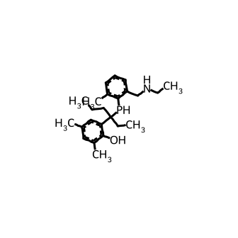 CCCC(CC)(Pc1c(C)cccc1CNCC)c1cc(C)cc(C)c1O